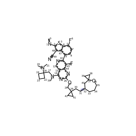 C=Nc1sc2c(F)ccc(-c3ncc4c(N(C)CC5(N(C)C)CCC5)nc(OCC5(C/C=C6/CCCOC7(CC7)C6)CC5)nc4c3F)c2c1C#N